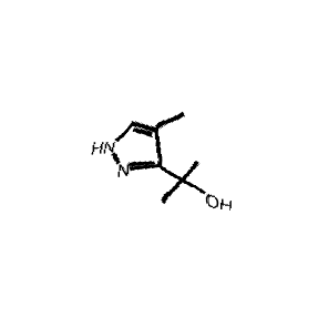 Cc1c[nH]nc1C(C)(C)O